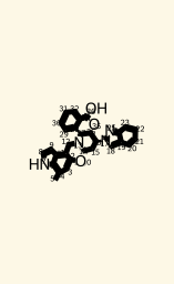 COc1cc(C)c2[nH]ccc2c1CN1CC[C@H](n2cc3ccccc3n2)C[C@@H]1c1ccccc1C(=O)O